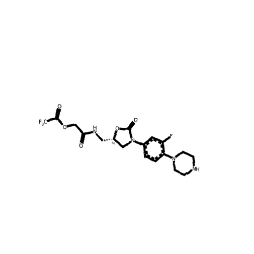 O=C(COC(=O)C(F)(F)F)NC[C@H]1CN(c2ccc(N3CCNCC3)c(F)c2)C(=O)O1